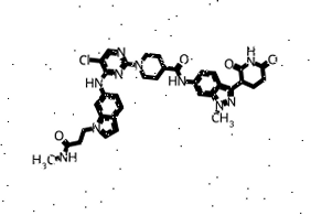 CNC(=O)CCn1ccc2ccc(Nc3nc(N4CCC(C(=O)Nc5ccc6c(C7CCC(=O)NC7=O)nn(C)c6c5)CC4)ncc3Cl)cc21